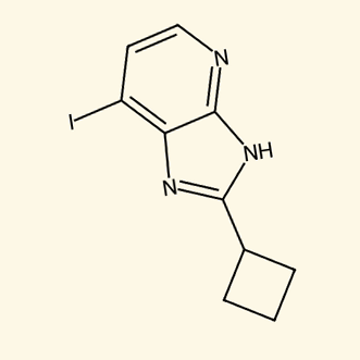 Ic1ccnc2[nH]c(C3CCC3)nc12